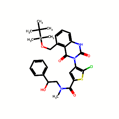 CN(CC(O)c1ccccc1)C(=O)c1cc(-n2c(=O)[nH]c3cccc(CO[Si](C)(C)C(C)(C)C)c3c2=O)c(Cl)s1